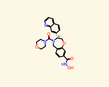 O=C(NO)c1ccc2c(c1)OC[C@@H](c1ccc3cccnc3c1)N(C(=O)N1CCOCC1)C2